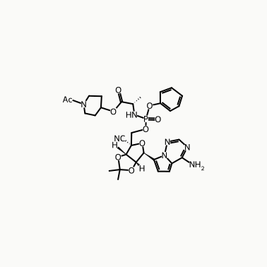 CC(=O)N1CCC(OC(=O)[C@H](C)NP(=O)(OC[C@@]2(C#N)O[C@@H](c3ccc4c(N)ncnn34)[C@@H]3OC(C)(C)O[C@@H]32)Oc2ccccc2)CC1